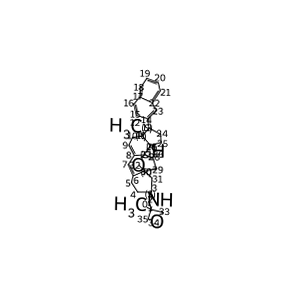 CC1(N[C@H]2CCC3=CC4=CC[C@]5(C)[C@@H](c6ccc7ccccc7c6)CC[C@H]5[C@@]45CC[C@]3(C2)O5)COC1